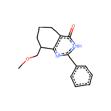 COCC1CCCc2c1nc(-c1ccccc1)[nH]c2=O